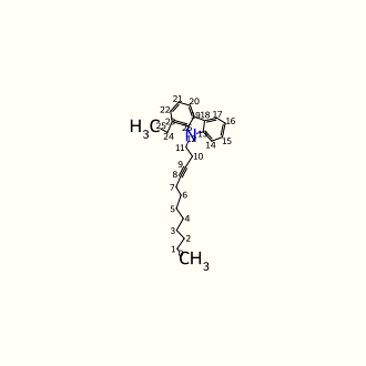 CCCCCCCCC#CCCn1c2ccccc2c2cccc(CC)c21